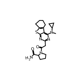 CN(c1nc(CC(=O)N2CCCC2C(N)=O)nc2sc3c(c12)CCCC3)C1CC1